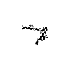 CCN[C@H](C)c1cc(-c2nc(OCCOCCC(N)CCC(C)(F)F)c3nccn3n2)c(OC)cn1